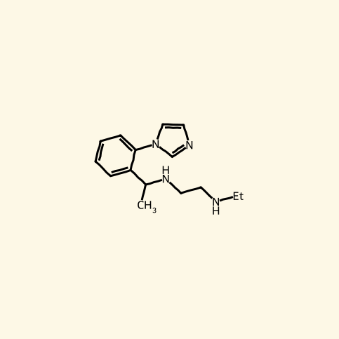 CCNCCNC(C)c1ccccc1-n1ccnc1